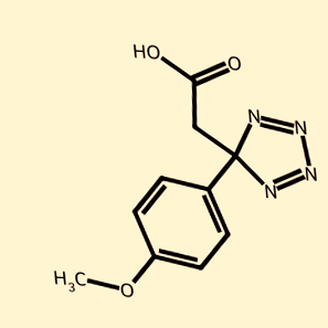 COc1ccc(C2(CC(=O)O)N=NN=N2)cc1